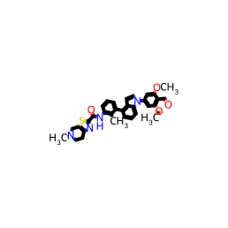 COc1cc(-n2ccc3c(-c4cccc(NC(=O)c5nc6c(s5)CN(C)CC6)c4C)cccc32)cc(OC)c1C=O